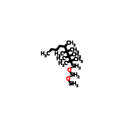 CCCCC(C)C(C)(C)C(C)(C)C(C)(C)[SiH2]O[SiH2]O[SiH3]